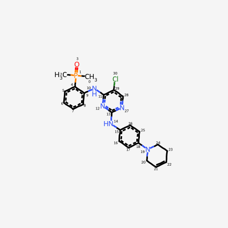 CP(C)(=O)c1ccccc1Nc1nc(Nc2ccc(N3CC=CCC3)cc2)ncc1Cl